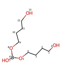 OCCCCOB(O)OCCCCO